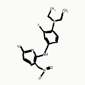 CCN(CC)c1ccc(Nc2nc(Cl)ccc2[N+](=O)[O-])cc1F